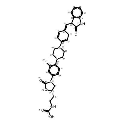 O=C(O)NCC[C@H]1CN(c2ccc(N3CCN(C4=CCC(=CC5C(=O)Nc6ccccc65)C=C4)CC3)c(F)c2)C(=O)O1